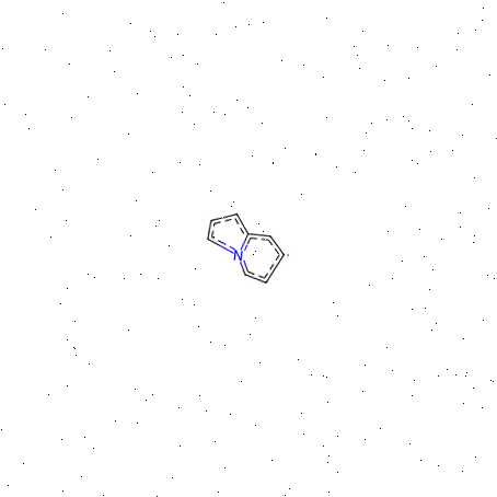 [c]1ccn2cccc2c1